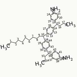 CCCCCCCCCCC(c1ccc(C(CCC)c2ccc(N)cc2)cc1)c1ccc(C(CCC)c2ccc(N)cc2)cc1